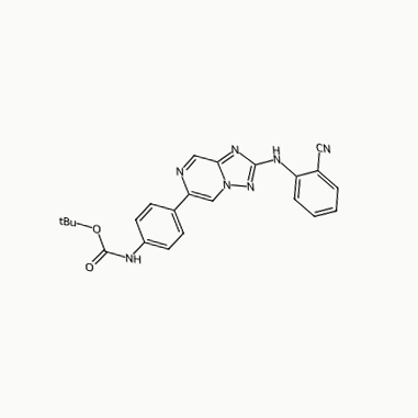 CC(C)(C)OC(=O)Nc1ccc(-c2cn3nc(Nc4ccccc4C#N)nc3cn2)cc1